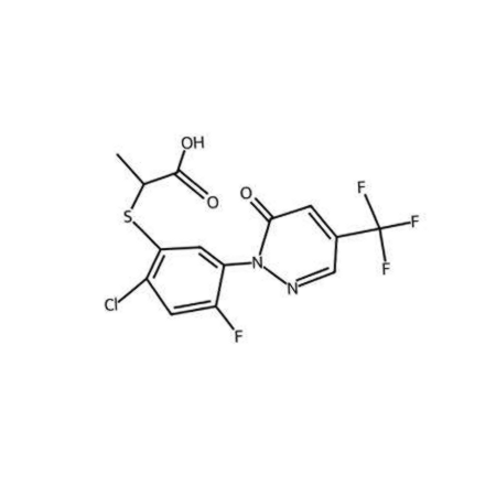 CC(Sc1cc(-n2ncc(C(F)(F)F)cc2=O)c(F)cc1Cl)C(=O)O